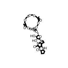 CC1(C)COCCCCOCC(C)(C)C(=O)OCOP(=O)(COC[C@@H]2O[C@@H](n3ccc4c(NC5CCCC5)c(C#N)c(Cl)nc43)[C@H](O)[C@@H]2O)OCOC1=O